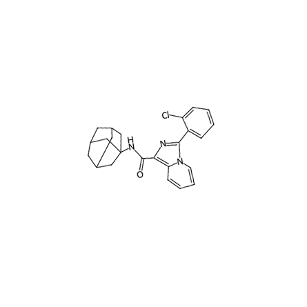 O=C(NC12CC3CC(CC(C3)C1)C2)c1nc(-c2ccccc2Cl)n2ccccc12